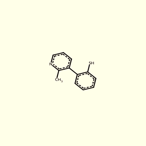 Cc1ncccc1-c1ccccc1S